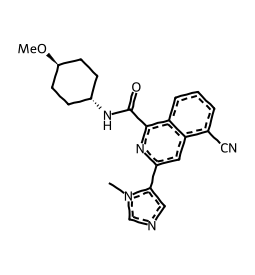 CO[C@H]1CC[C@H](NC(=O)c2nc(-c3cncn3C)cc3c(C#N)cccc23)CC1